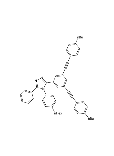 CCCCCCc1ccc(-n2c(-c3ccccc3)nnc2-c2cc(C#Cc3ccc(CCCC)cc3)cc(C#Cc3ccc(CCCC)cc3)c2)cc1